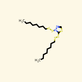 CCCCCCCCSSC1SC=NN1SSCCCCCCCC